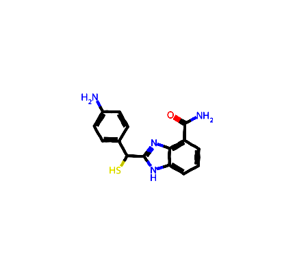 NC(=O)c1cccc2[nH]c(C(S)c3ccc(N)cc3)nc12